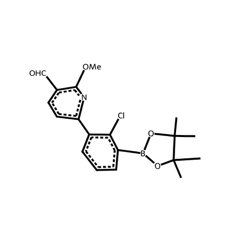 COc1nc(-c2cccc(B3OC(C)(C)C(C)(C)O3)c2Cl)ccc1C=O